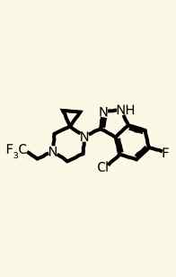 Fc1cc(Cl)c2c(N3CCN(CC(F)(F)F)CC34CC4)n[nH]c2c1